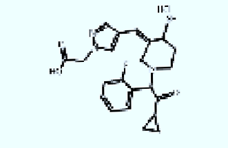 Cl.O=C(O)Cn1cc(/C=C2\CN(C(C(=O)C3CC3)c3ccccc3F)CCC2S)cn1